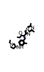 CCC(=O)/C(=C\c1ccc(N[C@@H]2CCN(CC)C2)cc1C)c1cn2cc(C)nc(C)c2n1